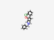 O=C1C(c2ccccc2Cl)=CC2CN(Cc3ccccc3)CC12